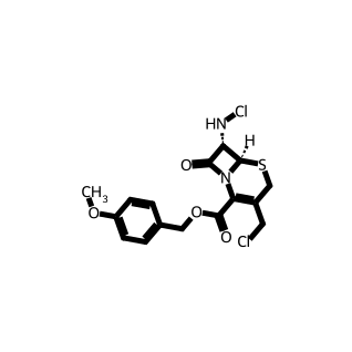 COc1ccc(COC(=O)C2=C(CCl)CS[C@@H]3[C@@H](NCl)C(=O)N23)cc1